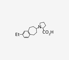 CCc1ccc2c(c1)CCC(N1CCC[C@H]1C(=O)O)CC2